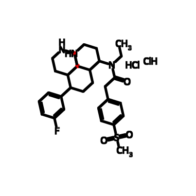 CCN(C(=O)Cc1ccc(S(C)(=O)=O)cc1)C1CCNCC1CCC(c1cccc(F)c1)C1CCNCC1.Cl.Cl